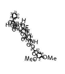 COc1cc(OC)c2oc(COC(=O)Nc3ccn(C4O[C@H](COP(=O)(O)NC(=O)c5ccccc5)[C@@H](O)C4(F)F)c(=O)n3)cc2c1